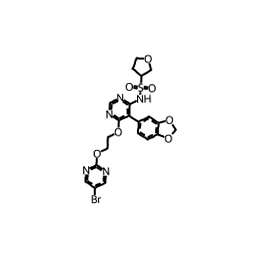 O=S(=O)(Nc1ncnc(OCCOc2ncc(Br)cn2)c1-c1ccc2c(c1)OCO2)C1CCOC1